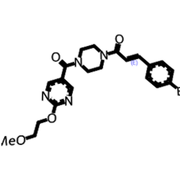 COCCOc1ncc(C(=O)N2CCN(C(=O)/C=C/c3ccc(Br)cc3)CC2)cn1